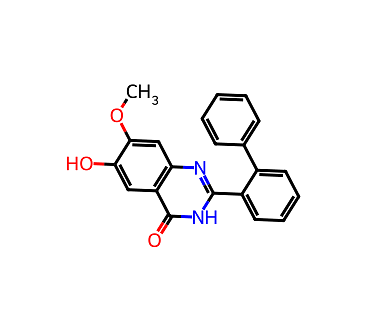 COc1cc2nc(-c3ccccc3-c3ccccc3)[nH]c(=O)c2cc1O